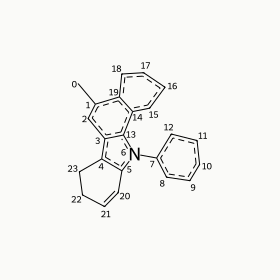 Cc1cc2c3c(n(-c4ccccc4)c2c2ccccc12)C=CCC3